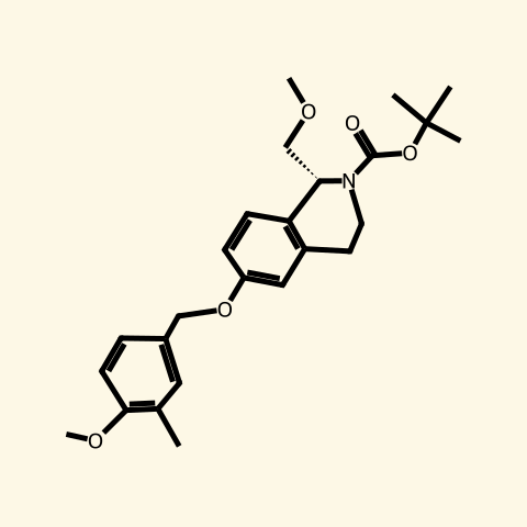 COC[C@H]1c2ccc(OCc3ccc(OC)c(C)c3)cc2CCN1C(=O)OC(C)(C)C